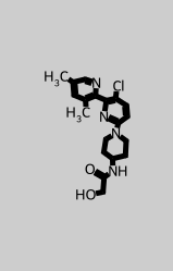 Cc1cnc(-c2nc(N3CCC(NC(=O)CO)CC3)ccc2Cl)c(C)c1